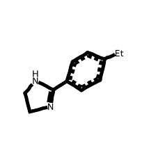 CCc1ccc(C2=NCCN2)cc1